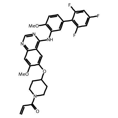 C=CC(=O)N1CCC(Oc2cc3c(Nc4cc(-c5c(F)cc(F)cc5F)ccc4OC)ncnc3cc2OC)CC1